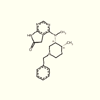 C[C@@H]1CCN(Cc2ccccc2)C[C@@H]1N(C)c1ncnc2c1CC(=O)N2